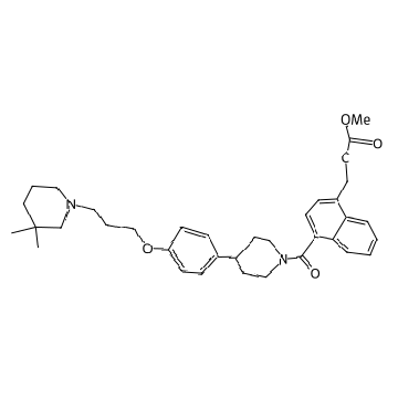 COC(=O)CCc1ccc(C(=O)N2CCC(c3ccc(OCCCN4CCCC(C)(C)C4)cc3)CC2)c2ccccc12